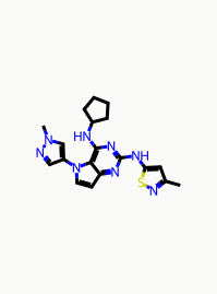 Cc1cc(Nc2nc(NC3CCCC3)c3c(ccn3-c3cnn(C)c3)n2)sn1